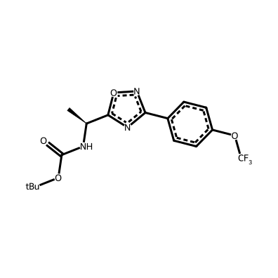 C[C@H](NC(=O)OC(C)(C)C)c1nc(-c2ccc(OC(F)(F)F)cc2)no1